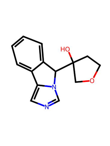 OC1(C2c3ccccc3-c3cncn32)CCOC1